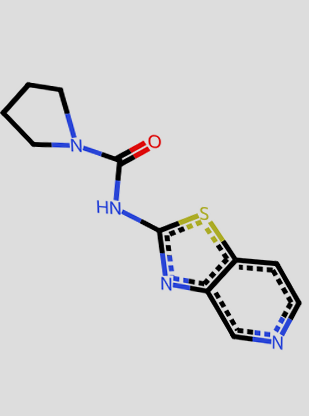 O=C(Nc1nc2cnccc2s1)N1CCCC1